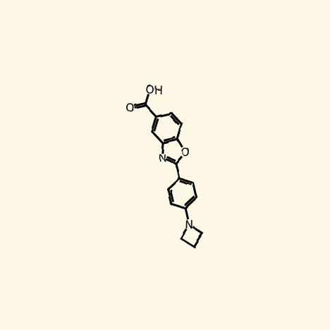 O=C(O)c1ccc2oc(-c3ccc(N4CCC4)cc3)nc2c1